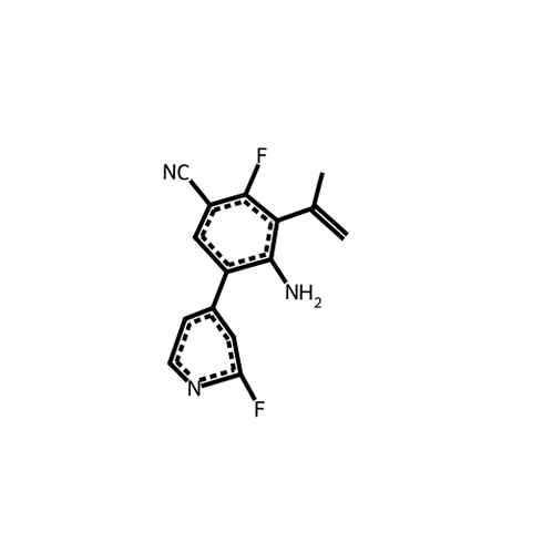 C=C(C)c1c(N)c(-c2ccnc(F)c2)cc(C#N)c1F